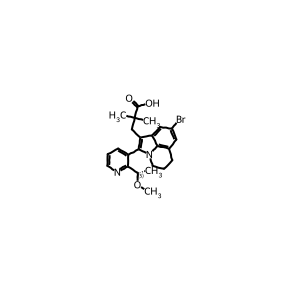 CO[C@@H](C)c1ncccc1-c1c(CC(C)(C)C(=O)O)c2cc(Br)cc3c2n1CCC3